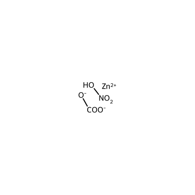 O=C([O-])[O-].O=[N+]([O-])O.[Zn+2]